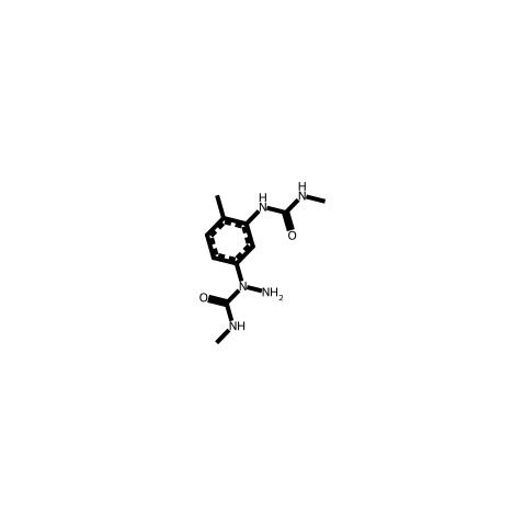 CNC(=O)Nc1cc(N(N)C(=O)NC)ccc1C